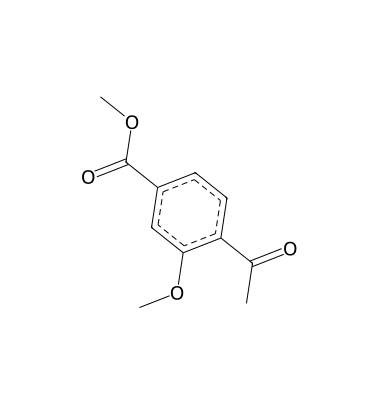 COC(=O)c1ccc(C(C)=O)c(OC)c1